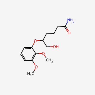 COc1cccc(OC(CO)CCCC(N)=O)c1OC